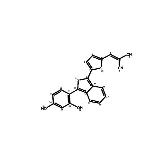 N#CC(C#N)=Cc1ccc(-c2sc(-c3ccc(O)cc3O)c3ccccc23)s1